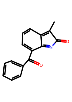 CC1=c2cccc(C(=O)c3ccccc3)c2=NC1=O